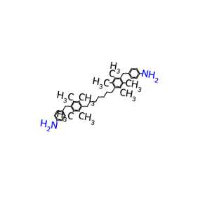 Cc1c(C)c(Cc2ccc(N)cc2)c(C)c(C)c1CCCCCCCc1c(C)c(C)c(Cc2ccc(N)cc2)c(C)c1C